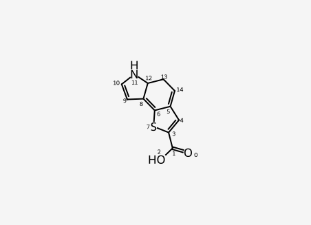 O=C(O)c1cc2c(s1)=C1C=CNC1CC=2